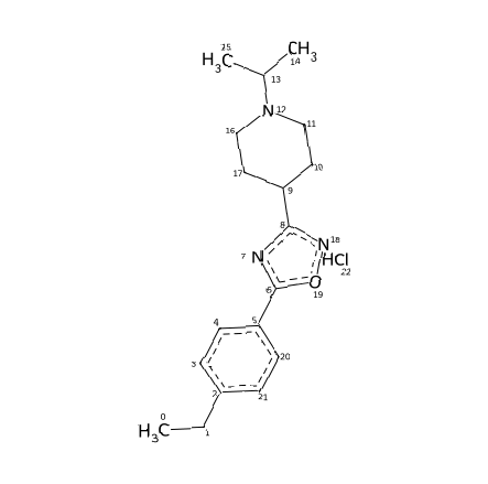 CCc1ccc(-c2nc(C3CCN(C(C)C)CC3)no2)cc1.Cl